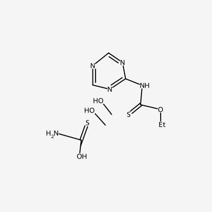 CCOC(=S)Nc1ncncn1.CO.CO.NC(O)=S